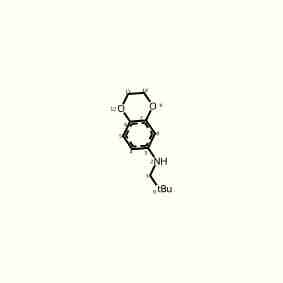 CC(C)(C)CNc1ccc2c(c1)OCCO2